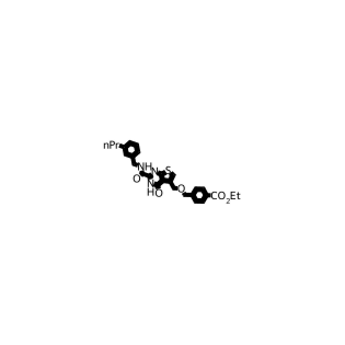 CCCc1cccc(CNC(=O)c2nc3scc(COCc4ccc(C(=O)OCC)cc4)c3c(=O)[nH]2)c1